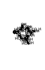 CO[C@@H](CNC(=O)[C@H](NC(=O)[C@H](O)[C@H](C)O)[C@H](O)c1cncn1C)[C@H](O)[C@H](O)C(=O)N(C)[C@@H](Cc1ccccc1)C(=O)N[C@H](O)C(=O)NC(C(=O)N[C@@H](CO)C(=O)NC(C(=O)N[C@@H](CC(C)C)C(=O)N[C@@H](CO)C(=O)O)C(C)(C)O)C(C)(C)O